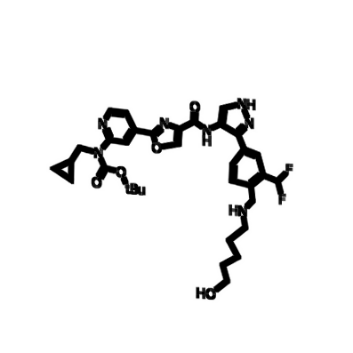 CC(C)(C)OC(=O)N(CC1CC1)c1cc(-c2nc(C(=O)Nc3c[nH]nc3-c3ccc(CNCCCCCO)c(C(F)F)c3)co2)ccn1